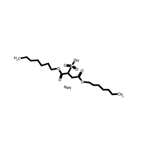 CCCCCCCOC(=O)CC(C(=O)OCCCCCCC)S(=O)(=O)O.[NaH]